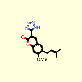 COc1cc2oc(=O)c(-c3nnn[nH]3)cc2cc1CC=C(C)C